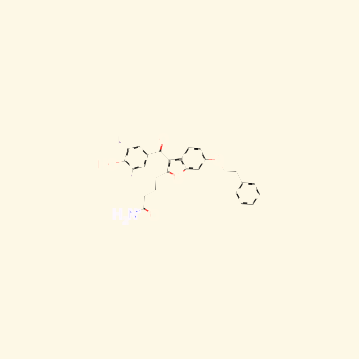 NC(=O)CCCc1oc2cc(OCCc3ccccc3)ccc2c1C(=O)c1cc(I)c(O)c(I)c1